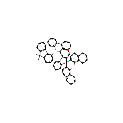 CC1(C)c2ccccc2-c2c(N(c3ccccc3-c3ccccc3)c3cccc4c3-c3ccccc3C43c4ccc5ccccc5c4Oc4c3ccc3ccccc43)cccc21